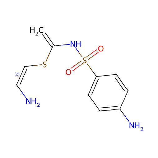 C=C(NS(=O)(=O)c1ccc(N)cc1)S/C=C\N